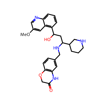 COc1cnc2cccc(C(O)CC(NCc3ccc4c(c3)NC(=O)CO4)C3CCCNC3)c2c1